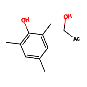 CC(=O)CO.Cc1cc(C)c(O)c(C)c1